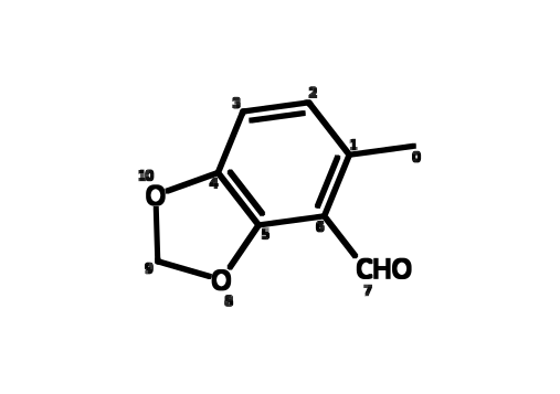 Cc1ccc2c(c1C=O)OCO2